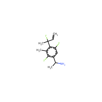 C=CC(C)(F)c1c(F)cc(C(C)N)c(F)c1C